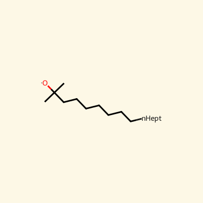 CCCCCCCCCCCCCCC(C)(C)[O]